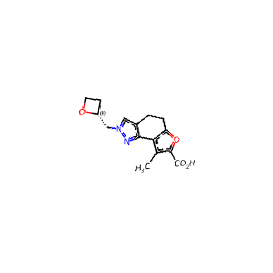 Cc1c(C(=O)O)oc2c1-c1nn(C[C@H]3CCO3)cc1CC2